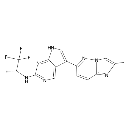 Cc1cn2nc(-c3c[nH]c4nc(N[C@H](C)C(F)(F)F)ncc34)ccc2n1